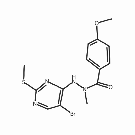 COc1ccc(C(=O)N(C)Nc2nc(SC)ncc2Br)cc1